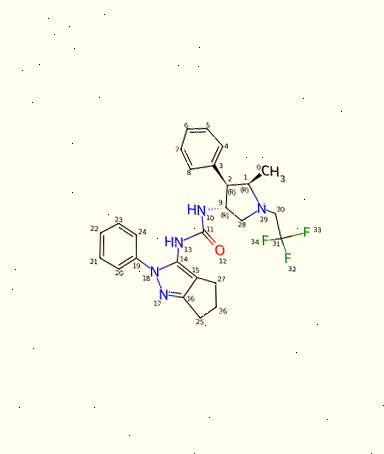 C[C@@H]1[C@H](c2ccccc2)[C@@H](NC(=O)Nc2c3c(nn2-c2ccccc2)CCC3)CN1CC(F)(F)F